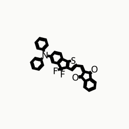 O=C1C(=Cc2cc3c(s2)-c2ccc(N(c4ccccc4)c4ccccc4)cc2C3(F)F)C(=O)c2ccccc21